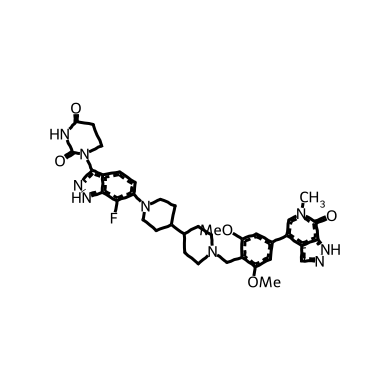 COc1cc(-c2cn(C)c(=O)c3[nH]ncc23)cc(OC)c1CN1CCC(C2CCN(c3ccc4c(N5CCC(=O)NC5=O)n[nH]c4c3F)CC2)CC1